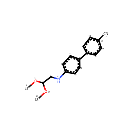 CCOC(CNc1ccc(-c2ccc(C#N)cc2)cc1)OCC